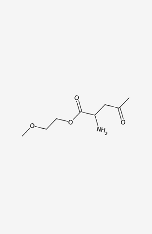 COCCOC(=O)C(N)CC(C)=O